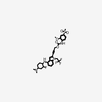 COc1cc(S(C)(=O)=O)ccc1NC(=O)OCC#Cc1cc2c(NC3CCC(N(C)C)CC3F)cccc2n1CC(F)(F)F